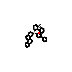 c1ccc(-c2ccc(N(c3ccc4ccc5c6ccccc6ccc5c4c3)c3cccc4sc5ccccc5c34)cc2)cc1